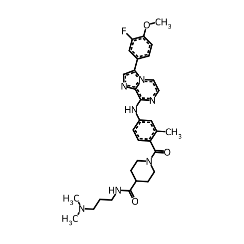 COc1ccc(-c2cnc3c(Nc4ccc(C(=O)N5CCC(C(=O)NCCCN(C)C)CC5)c(C)c4)nccn23)cc1F